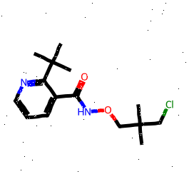 CC(C)(CCl)CONC(=O)c1cccnc1C(C)(C)C